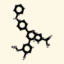 COc1cc(-c2cc(-c3ccc(Oc4ccccc4)cc3)nc3cc(C(=O)O)nn23)ccc1Cl